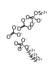 O=C([O-])[O-].O=C([O-])[O-].O=P([O-])([O-])[O-].O=P([O-])([O-])[O-].[Sr+2].[Sr+2].[Sr+2].[Sr+2].[Sr+2]